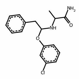 CC(NC(Cc1ccccc1)Oc1cccc(Cl)c1)C(N)=O